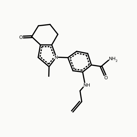 C=CCNc1cc(-n2c(C)cc3c2CCCC3=O)ccc1C(N)=O